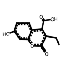 CCc1c(C(=O)O)c2ccc(O)cc2oc1=O